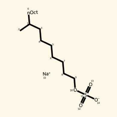 CCCCCCCCC(C)CCCCCCCOS(=O)(=O)[O-].[Na+]